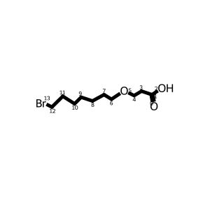 O=C(O)CCOCCCCCCCBr